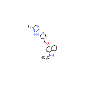 CCc1cncc(Nc2cc(COc3ccc(NC(=O)O)c4ccccc34)ccn2)n1